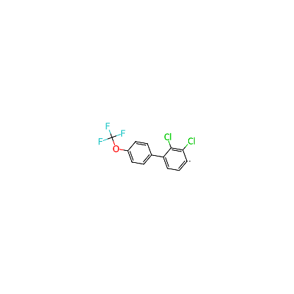 FC(F)(F)Oc1ccc(-c2cc[c]c(Cl)c2Cl)cc1